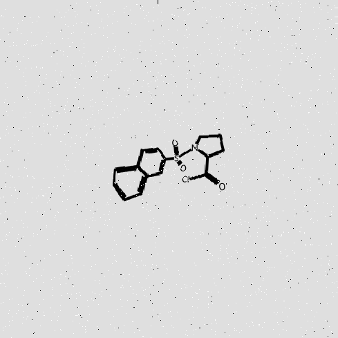 O=C(Cl)C1CCCN1S(=O)(=O)c1ccc2ccccc2c1